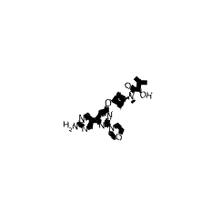 CC(C)[C@H](O)C(=O)N(C)[C@H]1C[C@H](Oc2cc(-c3cnc(N)nc3)nc(N3CCOCC3)n2)C1